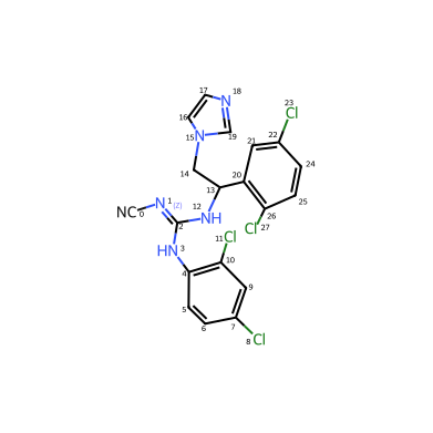 N#C/N=C(\Nc1ccc(Cl)cc1Cl)NC(Cn1ccnc1)c1cc(Cl)ccc1Cl